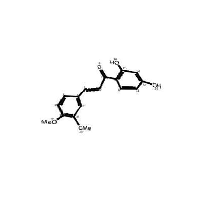 COc1ccc(C=CC(=O)c2ccc(O)cc2O)cc1OC